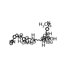 COc1cc(C(=O)N[C@@H]2CCc3ccc(-c4cn5c(n4)CCC5)cc32)cc(OCCCNC(=O)CCCCC(=O)N[C@H](C(=O)N2C[C@H](O)C[C@H]2C(=O)NCc2ccc(-c3scnc3C)cc2)C(C)(C)C)c1C